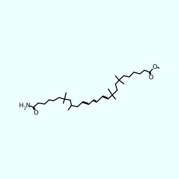 COC(=O)CCCCCC(C)(C)CCC(C)(C)/C=C/C=C/C=C/CC(C)CC(C)(C)CCCCCC(N)=O